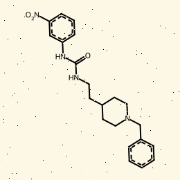 O=C(NCCC1CCN(Cc2ccccc2)CC1)Nc1cccc([N+](=O)[O-])c1